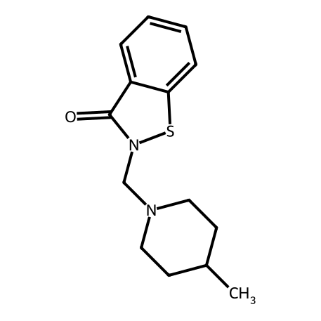 CC1CCN(Cn2sc3ccccc3c2=O)CC1